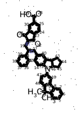 CC1(C)c2ccccc2-c2cc(N3c4ccc(/C=C(/C=C5\C(=O)c6ccc(C(=O)O)cc6C5=O)c5ccccc5)cc4C4CCCC43)ccc21